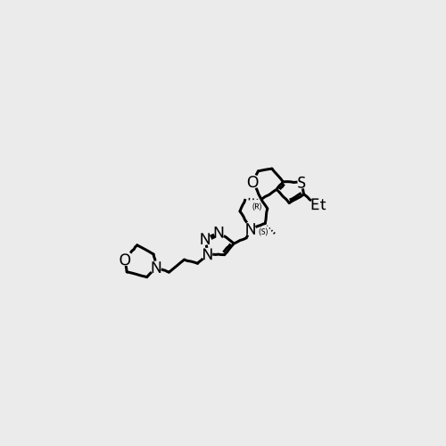 CCc1cc2c(s1)CCO[C@@]21CCN(Cc2cn(CCCN3CCOCC3)nn2)[C@@H](C)C1